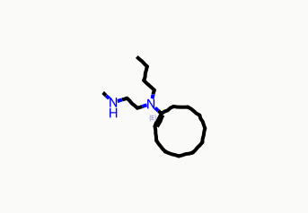 CCCCN(CCNC)/C1=C/CCCCCCCCC1